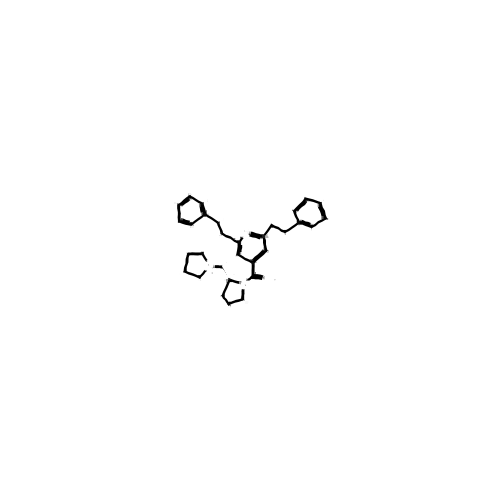 O=C(c1cc(CCc2ccccc2)nc(CCc2ccccc2)c1)N1CCC[C@H]1CN1CCCC1